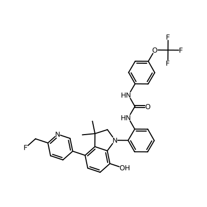 CC1(C)CN(c2ccccc2NC(=O)Nc2ccc(OC(F)(F)F)cc2)c2c(O)ccc(-c3ccc(CF)nc3)c21